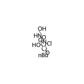 CCCCOc1ccc2c(O)c(OC(=O)NCCO)nc(Cl)c2c1